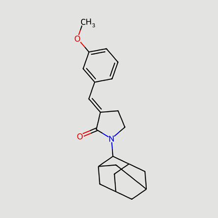 COc1cccc(/C=C2\CCN(C3C4CC5CC(C4)CC3C5)C2=O)c1